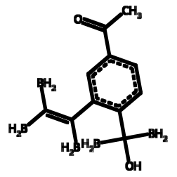 BC(B)=C(B)c1cc(C(C)=O)ccc1C(B)(B)O